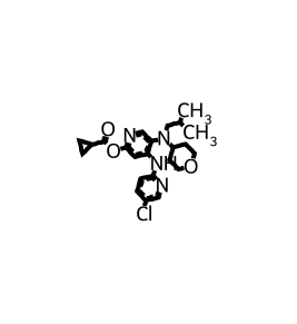 CC(C)CN(c1cnc(OC(=O)C2CC2)cc1Nc1ccc(Cl)cn1)C1CCOCC1